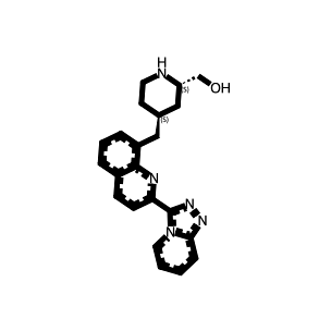 OC[C@@H]1C[C@@H](Cc2cccc3ccc(-c4nnc5ccccn45)nc23)CCN1